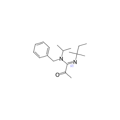 CCC(C)(C)/N=C(/C(C)=O)N(Cc1ccccc1)C(C)C